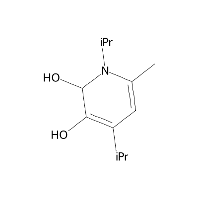 CC1=CC(C(C)C)=C(O)C(O)N1C(C)C